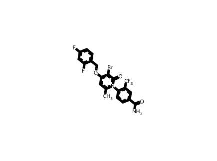 Cc1cc(OCc2ccc(F)cc2F)c(Br)c(=O)n1-c1ccc(C(N)=O)cc1C(F)(F)F